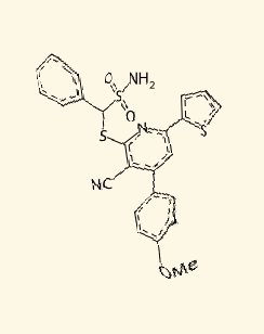 COc1ccc(-c2cc(-c3cccs3)nc(SC(c3ccccc3)S(N)(=O)=O)c2C#N)cc1